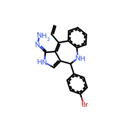 C=CC1=C2C(=CN/C2=N/N)C(c2ccc(Br)cc2)Nc2ccccc21